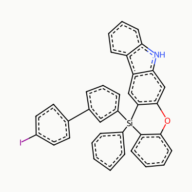 Ic1ccc(-c2cccc([Si]3(c4ccccc4)c4ccccc4Oc4cc5[nH]c6ccccc6c5cc43)c2)cc1